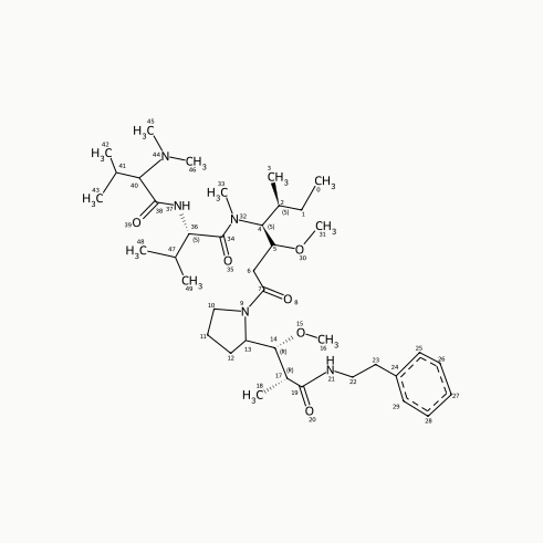 CC[C@H](C)[C@@H](C(CC(=O)N1CCCC1[C@H](OC)[C@@H](C)C(=O)NCCc1ccccc1)OC)N(C)C(=O)[C@@H](NC(=O)C(C(C)C)N(C)C)C(C)C